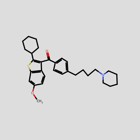 COc1ccc2c(C(=O)c3ccc(CCCCN4CCCCC4)cc3)c(C3CCCCC3)sc2c1